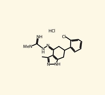 CNC(=N)N/N=C1/CC(c2ccccc2Cl)Cc2[nH]nc(C)c21.Cl